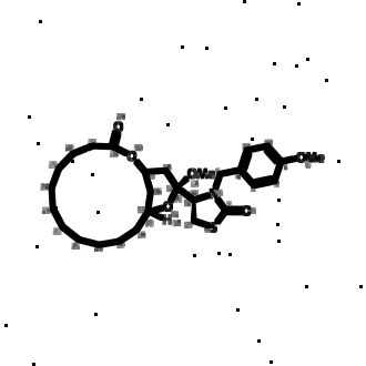 COc1ccc(CN2C(=O)SC[C@H]2[C@@]2(OC)CC3C[C@@H](CCCCCCCCCCC(=O)O3)O2)cc1